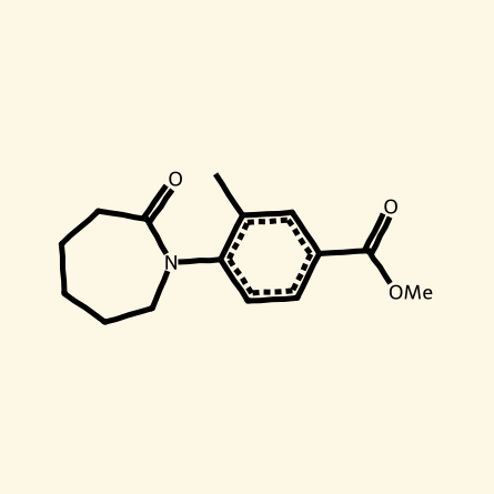 COC(=O)c1ccc(N2CCCCCC2=O)c(C)c1